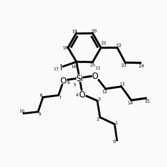 CCCCO[Si](OCCCC)(OCCCC)C1(I)C=CC=C(CCC)C1